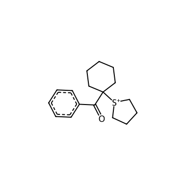 O=C(c1ccccc1)C1([S+]2CCCC2)CCCCC1